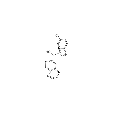 OC(c1ccc2nccnc2c1)c1cnc2ccc(Cl)nn12